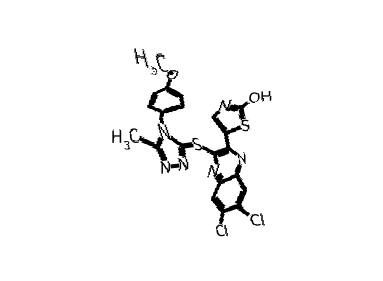 COc1ccc(-n2c(C)nnc2Sc2nc3cc(Cl)c(Cl)cc3nc2-c2cnc(O)s2)cc1